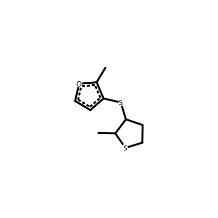 Cc1occc1SC1CCSC1C